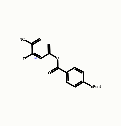 C=C(/C=C(/F)C(=C)C#N)OC(=O)c1ccc(CCCCC)cc1